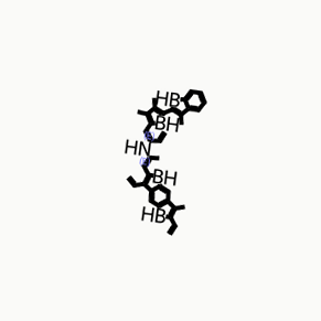 C=CC1=C(C)c2cc3c(cc2B1)C(C=C)=C(/C=C(\C)N/C(C=C)=C/C1=C(C)C(C)=C(C2=C(C)c4ccccc4B2)B1)B3